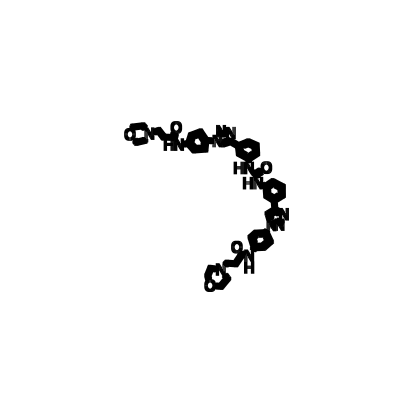 O=C(CCN1CCOCC1)Nc1ccc(-n2cc(-c3cccc(NC(=O)Nc4cccc(-c5cn(-c6ccc(NC(=O)CCN7CCOCC7)cc6)nn5)c4)c3)nn2)cc1